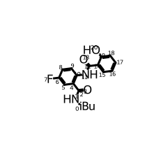 CCC(C)NC(=O)c1cc(F)ccc1NC(=O)c1ccccc1O